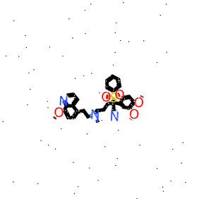 COc1ccc(C(C#N)(CCCN(C)CCc2ccc(OC)c3ncccc23)S(=O)(=O)c2ccccc2)cc1OC